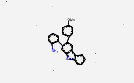 COc1ccc(-c2cc3c(cc2-c2ccccc2N)[nH]c2ccccc23)cc1